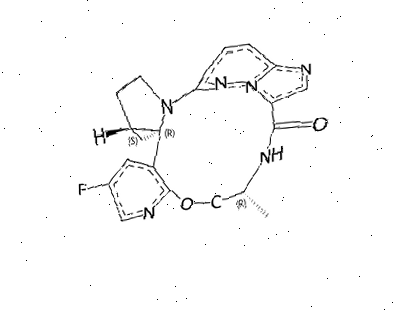 C[C@@H]1COc2ncc(F)cc2[C@@]23C[C@@H]2CCN3c2ccc3ncc(n3n2)C(=O)N1